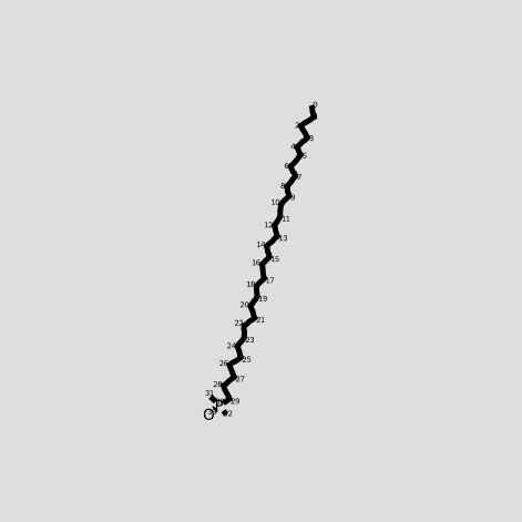 CCCCCCCCCCCCCCCCCCCCCCCCCCCCCCP(C)(C)=O